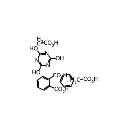 CC(=O)O.CC(=O)O.O=C(O)c1ccccc1C(=O)O.Oc1nc(O)nc(O)n1.c1ccccc1